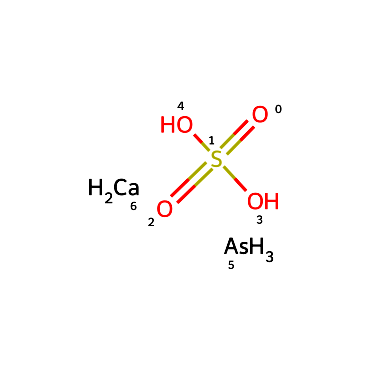 O=S(=O)(O)O.[AsH3].[CaH2]